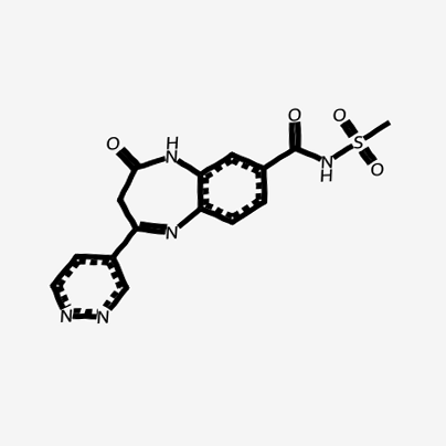 CS(=O)(=O)NC(=O)c1ccc2c(c1)NC(=O)CC(c1ccnnc1)=N2